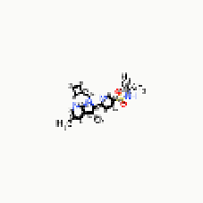 Cc1cnc2c(c1)c(C#N)c(-c1ccc(S(=O)(=O)N[C@@H](C)C(F)(F)F)cn1)n2CC1CCC1